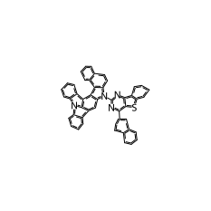 c1ccc2cc(-c3nc(-n4c5ccc6ccccc6c5c5c6c7ccccc7n7c8ccccc8c(cc54)c67)nc4c3sc3ccccc34)ccc2c1